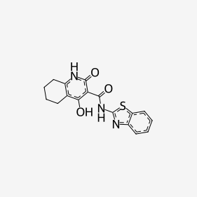 O=C(Nc1nc2ccccc2s1)c1c(O)c2c([nH]c1=O)CCCC2